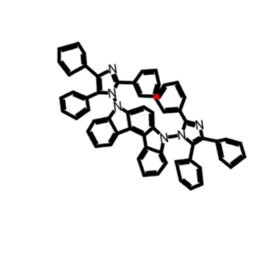 c1ccc(-c2nc(-c3ccccc3)n(-n3c4ccccc4c4c5c6ccccc6n(-n6c(-c7ccccc7)nc(-c7ccccc7)c6-c6ccccc6)c5ccc43)c2-c2ccccc2)cc1